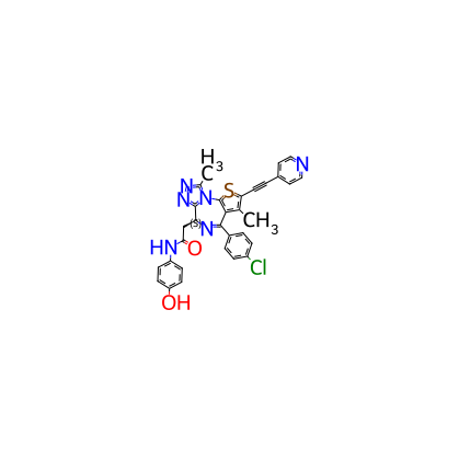 Cc1c(C#Cc2ccncc2)sc2c1C(c1ccc(Cl)cc1)=N[C@@H](CC(=O)Nc1ccc(O)cc1)c1nnc(C)n1-2